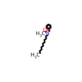 CCCCCCCCCCCCN(Cc1ccccc1)C(C)O